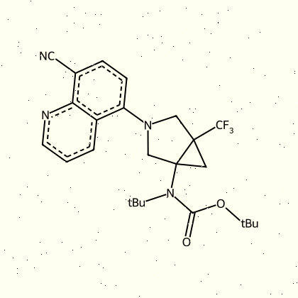 CC(C)(C)OC(=O)N(C(C)(C)C)C12CN(c3ccc(C#N)c4ncccc34)CC1(C(F)(F)F)C2